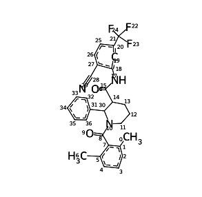 Cc1cccc(C)c1C(=O)N1CCCC(C(=O)Nc2cc(C(F)(F)F)ccc2C#N)C1c1ccccc1